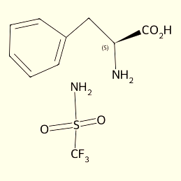 NS(=O)(=O)C(F)(F)F.N[C@@H](Cc1ccccc1)C(=O)O